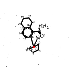 NC(=O)c1c([C@@H]2CN3CCC2CC3)ccc2c1CCCC2